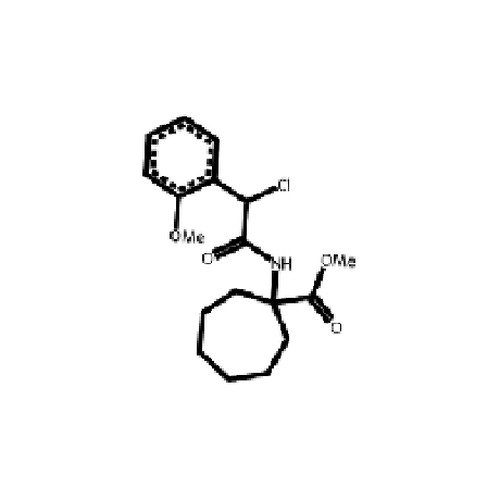 COC(=O)C1(NC(=O)C(Cl)c2ccccc2OC)CCCCCC1